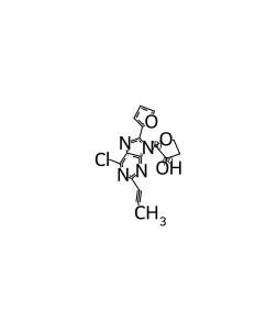 CC#Cc1nc(Cl)c2nc(-c3ccco3)n([C@@H]3OCC[C@H]3O)c2n1